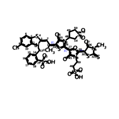 C/C(C=C1Sc2ccc(Cl)cc2N1Cc1ccccc1S(=O)(=O)O)=c1\s/c(=c2/o/c(=C3/SC(=S)N(C)C3=O)n(CCS(=O)(=O)O)c2=O)n(C2CCS(=O)(=O)C2)c1=O